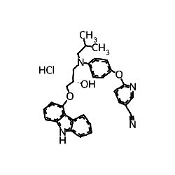 CC(C)CN(C[C@H](O)COc1cccc2[nH]c3ccccc3c12)c1ccc(Oc2ccc(C#N)cn2)cc1.Cl